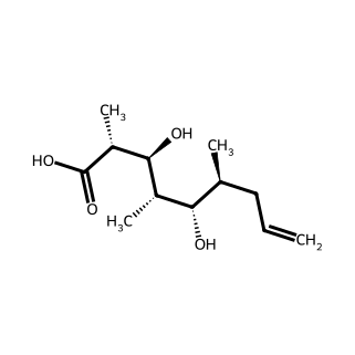 C=CC[C@H](C)[C@H](O)[C@H](C)[C@H](O)[C@@H](C)C(=O)O